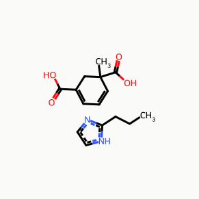 CC1(C(=O)O)C=CC=C(C(=O)O)C1.CCCc1ncc[nH]1